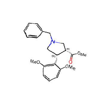 COC(=O)[C@H]1CN(Cc2ccccc2)C[C@H]1c1c(OC)cccc1OC